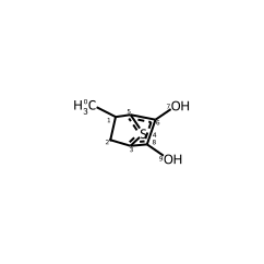 CC1Cc2sc1c(O)c2O